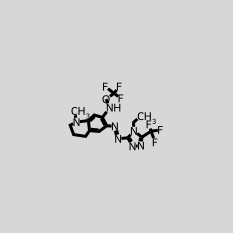 CCn1c(N=Nc2cc3c(cc2NOC(F)(F)F)N(C)CCC3)nnc1C(F)(F)F